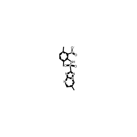 Cc1cnc2nc(S(=O)(=O)Nc3c(C)ccc(C)c3[N+](=O)[O-])nn2c1